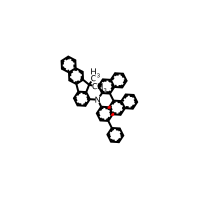 CC1(C)c2cc3ccccc3cc2-c2cccc(N(c3ccc(-c4ccccc4)cc3)c3ccc4ccccc4c3-c3cccc4ccccc34)c21